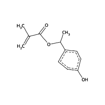 C=C(C)C(=O)OC(C)c1ccc(O)cc1